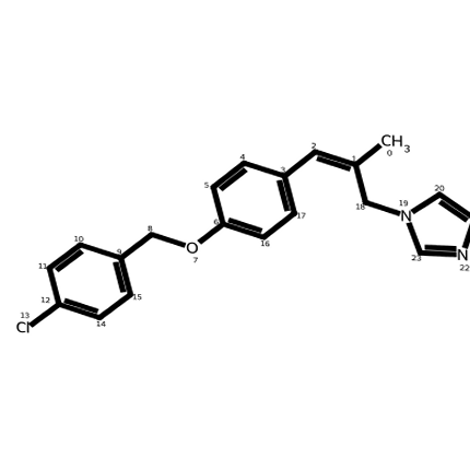 CC(=Cc1ccc(OCc2ccc(Cl)cc2)cc1)Cn1ccnc1